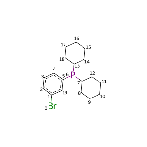 Brc1cccc(P(C2CCCCC2)C2CCCCC2)c1